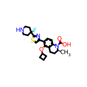 C[C@H]1CCc2c(ccc(-c3csc(C4(F)CCNCC4)n3)c2OC2CCC2)N1C(=O)O